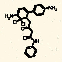 NC1=CC=C(c2ccc(N)cc2)C(CC(=O)CC(=O)Nc2ccccc2)C1(Cl)Cl